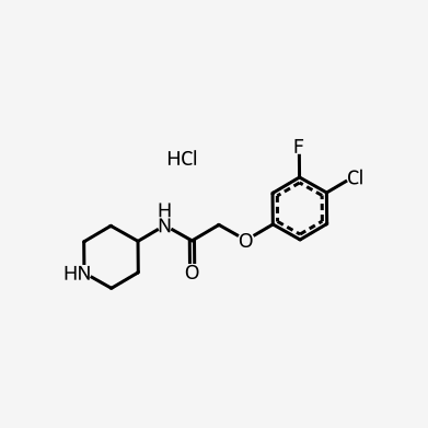 Cl.O=C(COc1ccc(Cl)c(F)c1)NC1CCNCC1